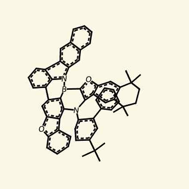 CC(C)(C)c1ccc(N2c3c(oc4cc5c(cc34)C(C)(C)CCC5(C)C)B3c4c(cc5oc6ccccc6c5c42)-c2cccc4c5cc6ccccc6cc5n3c24)c(-c2ccccc2)c1